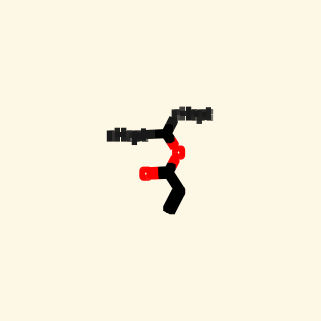 C=CC(=O)OC(CCCCCCC)CCCCCCC